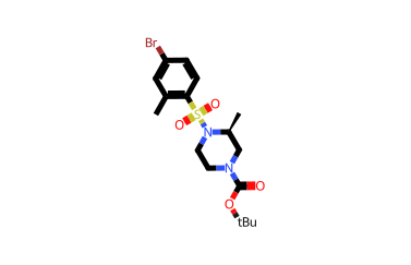 Cc1cc(Br)ccc1S(=O)(=O)N1CCN(C(=O)OC(C)(C)C)C[C@@H]1C